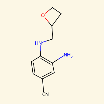 N#Cc1ccc(NCC2CCO2)c(N)c1